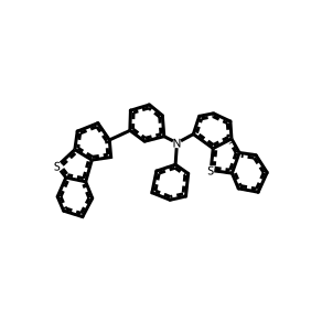 c1ccc(N(c2cccc(-c3ccc4sc5ccccc5c4c3)c2)c2cccc3c2sc2ccccc23)cc1